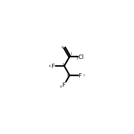 C=C(Cl)C(F)C(F)F